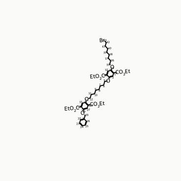 CCOC(=O)c1cc(OCCCCCCCCOc2cc(C(=O)OCC)c(OCc3ccccc3)cc2C(=O)OCC)c(C(=O)OCC)cc1OCCCCCCCCBr